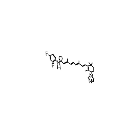 CC1=C(/C=C/C(C)=C/C=C/C(C)=C/C(=O)Nc2ccc(F)cc2F)C(C)(C)CCC1n1ccnc1